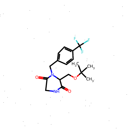 CC(C)(C)OCC1C(=O)NCC(=O)N1Cc1ccc(C(F)(F)F)cc1